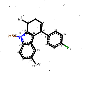 CCC1CC=C(c2ccc(F)cc2)c2c1n(S)c1ccc(C(C)C)cc21